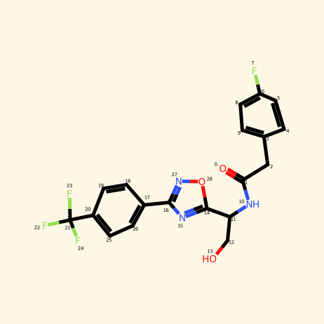 O=C(Cc1ccc(F)cc1)NC(CO)c1nc(-c2ccc(C(F)(F)F)cc2)no1